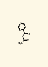 CC(=O)CC(=O)c1ccncc1